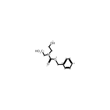 O=C(O)CN(CCO)C(=O)OCc1ccccc1